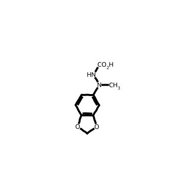 CN(NC(=O)O)c1ccc2c(c1)OCO2